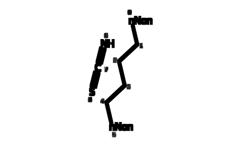 CCCCCCCCCCCCCCCCCCCCCC.N=C=S